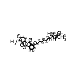 CN1C(=O)CCC(N2C(=O)c3cccc(OCCCCCCNC(=O)OC(C)(C)C)c3C2=O)C1=O